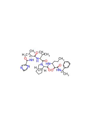 CCCC(NC(=O)C1[C@H]2CCC[C@H]2CN1C(=O)C(NC(=O)[C@H](NC(=O)c1cnccn1)C(C)C)C(C)C)C(=O)C(=O)N[C@H](C)c1ccccc1